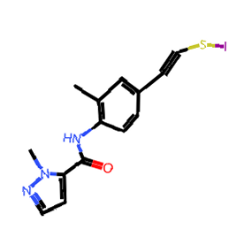 Cc1cc(C#CSI)ccc1NC(=O)c1ccnn1C